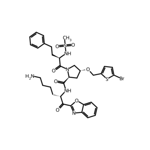 CS(=O)(=O)N[C@H](CCc1ccccc1)C(=O)N1C[C@H](OCc2ccc(Br)s2)C[C@H]1C(=O)N[C@@H](CCCCN)C(=O)c1nc2ccccc2o1